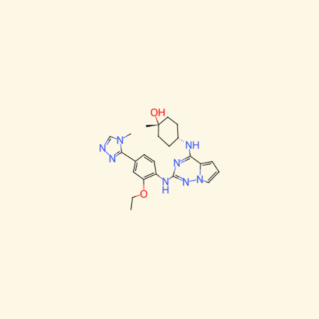 CCOc1cc(-c2nncn2C)ccc1Nc1nc(N[C@H]2CC[C@@](C)(O)CC2)c2cccn2n1